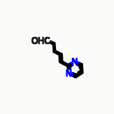 O=CCCC=Cc1ncccn1